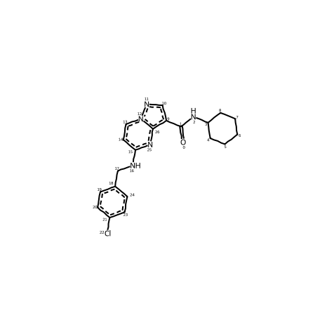 O=C(NC1CCCCC1)c1cnn2ccc(NCc3ccc(Cl)cc3)nc12